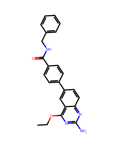 CCOc1nc(N)nc2ccc(-c3ccc(C(=O)NCc4ccccc4)cc3)cc12